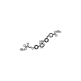 CC(C)(C)OC(=O)NCCOc1ccc(-c2ncnc(Nc3cccc(CN4CCC(C(=O)OC(C)(C)C)CC4)c3)n2)cc1